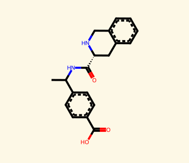 CC(NC(=O)[C@H]1Cc2ccccc2CN1)c1ccc(C(=O)O)cc1